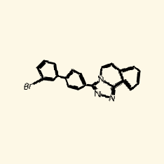 Brc1cccc(-c2ccc(-c3nnc4c5ccccc5ccn34)cc2)c1